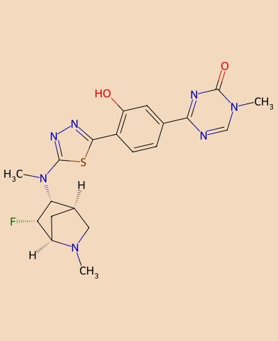 CN1C[C@H]2C[C@@H]1[C@H](F)[C@@H]2N(C)c1nnc(-c2ccc(-c3ncn(C)c(=O)n3)cc2O)s1